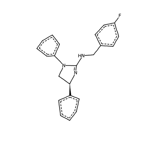 Fc1ccc(CNC2=N[C@@H](c3ccccc3)CN2c2ccccc2)cc1